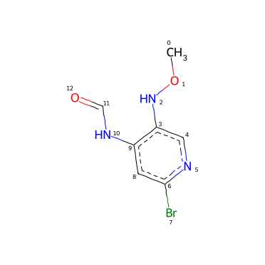 CONc1cnc(Br)cc1NC=O